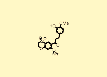 CCCOc1cc2c(cc1C(=O)CCc1ccc(OC)c(O)c1)S(=O)(=O)CCO2